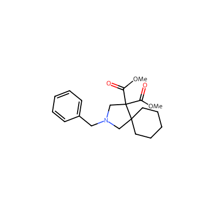 COC(=O)C1(C(=O)OC)CN(Cc2ccccc2)CC12CCCCC2